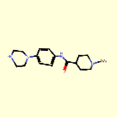 CC(=O)ON1CCC(C(=O)Nc2ccc(N3CCNCC3)cc2)CC1